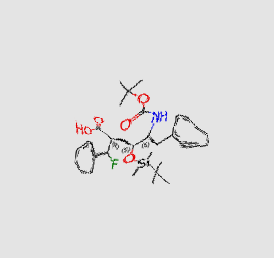 CC(C)(C)OC(=O)N[C@@H](Cc1ccccc1)[C@H](C[C@H](C(=O)O)C(F)c1ccccc1)O[Si](C)(C)C(C)(C)C